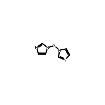 c1cn(Sn2ccnc2)cn1